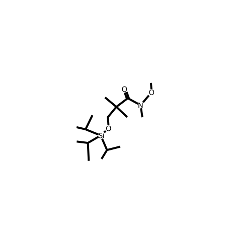 CON(C)C(=O)C(C)(C)CO[Si](C(C)C)(C(C)C)C(C)C